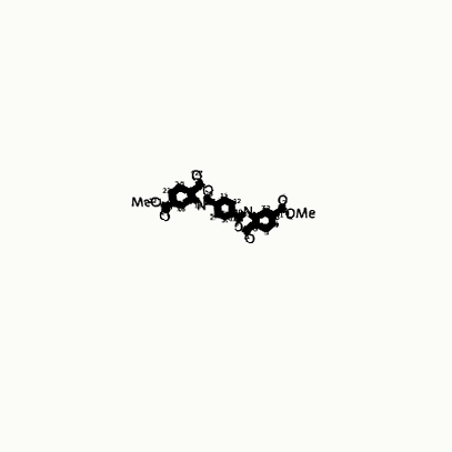 COC(=O)c1ccc2c(=O)oc(-c3ccc(-c4nc5cc(C(=O)OC)ccc5c(=O)o4)cc3)nc2c1